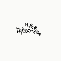 C=C(NCc1ccc(OCC(C)C)cc1)N(Cc1ccc(F)cc1)C1CCN(C)CC1F